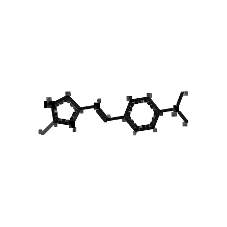 Cc1nc(N=Cc2ccc(N(C)C)cc2)c[nH]1